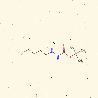 CCCCCNNC(=O)OC(C)(C)C